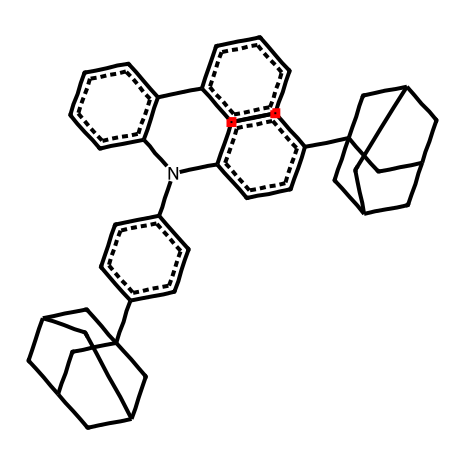 c1ccc(-c2ccccc2N(c2ccc(C34CC5CC(CC(C5)C3)C4)cc2)c2ccc(C34CC5CC(CC(C5)C3)C4)cc2)cc1